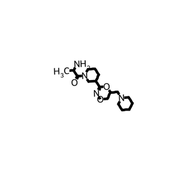 CC(N)C(=O)N1CCCC(C2=NOCC(CN3CCCCC3)O2)C1